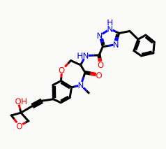 CN1C(=O)C(NC(=O)c2n[nH]c(Cc3ccccc3)n2)COc2cc(C#CC3(O)COC3)ccc21